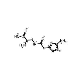 Nc1nc(CC(=O)NCC(N)C(=O)O)cs1